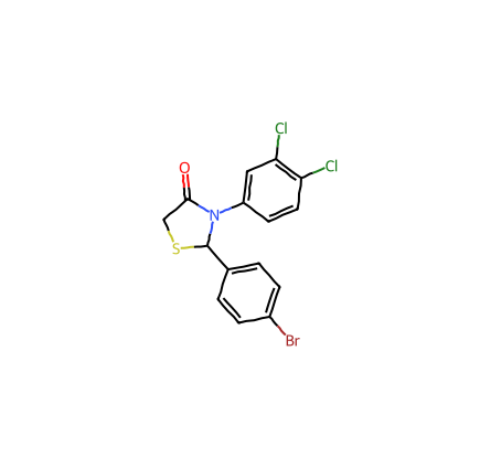 O=C1CSC(c2ccc(Br)cc2)N1c1ccc(Cl)c(Cl)c1